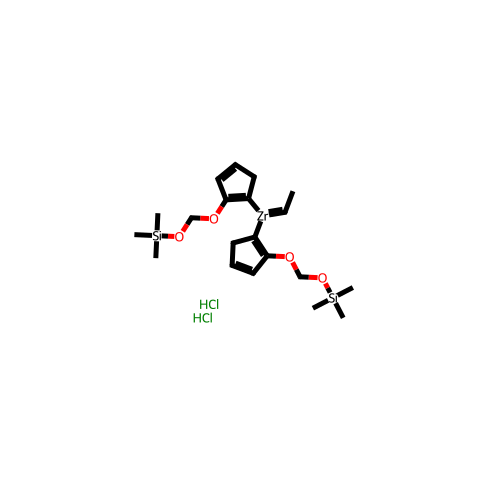 C[CH]=[Zr]([C]1=C(OCO[Si](C)(C)C)C=CC1)[C]1=C(OCO[Si](C)(C)C)C=CC1.Cl.Cl